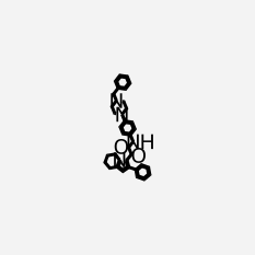 O=C(Nc1ccc(N2CCN(Cc3ccccc3)CC2)cc1)C(=O)c1c(-c2ccccc2)cc2n1CCCC2